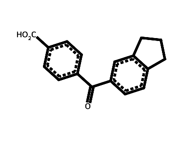 O=C(O)c1ccc(C(=O)c2ccc3c(c2)CCC3)cc1